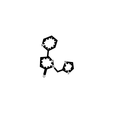 O=c1ccc(-c2ccccn2)nn1Cc1nccs1